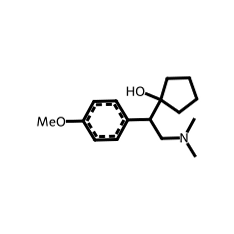 COc1ccc(C(CN(C)C)C2(O)CCCC2)cc1